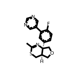 CC1=N[C@@]2(c3ccc(F)c(-c4cncnc4)c3)COC[C@H]2CS1